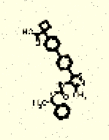 Cc1nsc(-c2ccc(-c3ccc(C4(C(=O)O)CCC4)cc3)cc2)c1NC(=O)O[C@H](C)c1ccccc1